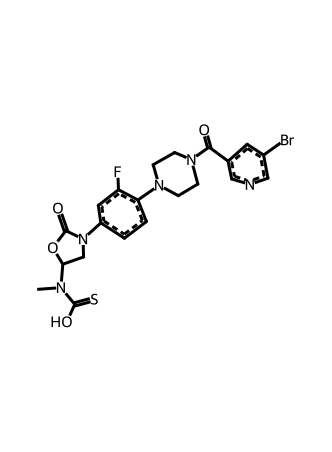 CN(C(O)=S)C1CN(c2ccc(N3CCN(C(=O)c4cncc(Br)c4)CC3)c(F)c2)C(=O)O1